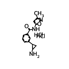 Cc1cc(NC(=O)c2cccc(C3CC3N)c2)on1.Cl.Cl